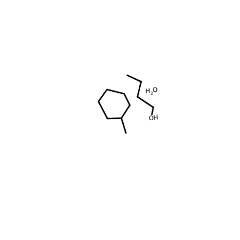 CC1CCCCC1.CCCCO.O